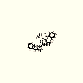 CN1C(=O)[C@@H](NC(=O)c2nnc(Cc3ccccc3)[nH]2)COc2ccccc21.O